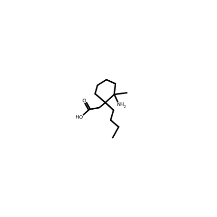 CCCCC1(CC(=O)O)CCCCC1(C)N